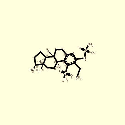 CCc1c(OS(N)(=O)=[17O])cc2c(c1S(C)(=O)=O)[C@H]1CC[C@]3(C)[C@@H](O)CC[C@H]3[C@@H]1CC2